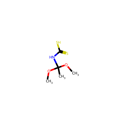 COC(C)(NC(=S)S)OC